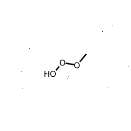 COOO